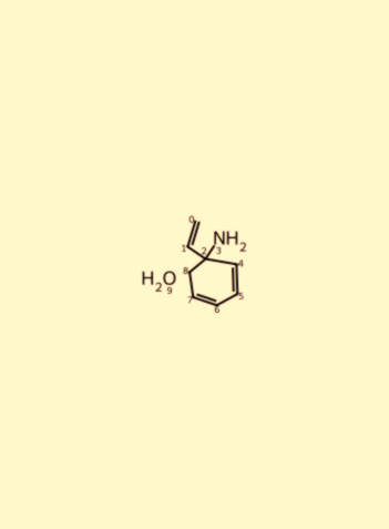 C=CC1(N)C=CC=CC1.O